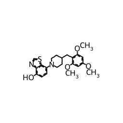 COc1cc(OC)c(CC2CCN(c3ccc(O)c4ncsc34)CC2)c(OC)c1